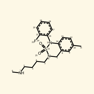 CNCCCCN1Cc2cc(C)ccc2N(c2ccccc2F)S1(=O)=O